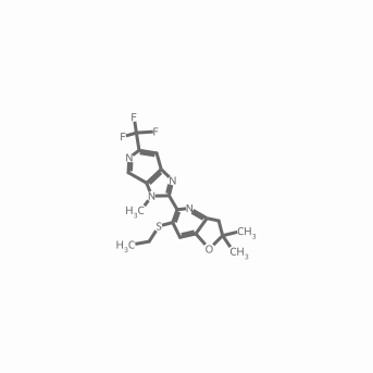 CCSc1cc2c(nc1-c1nc3cc(C(F)(F)F)ncc3n1C)CC(C)(C)O2